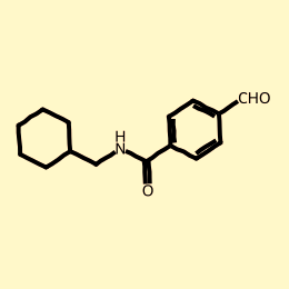 O=Cc1ccc(C(=O)NCC2CCCCC2)cc1